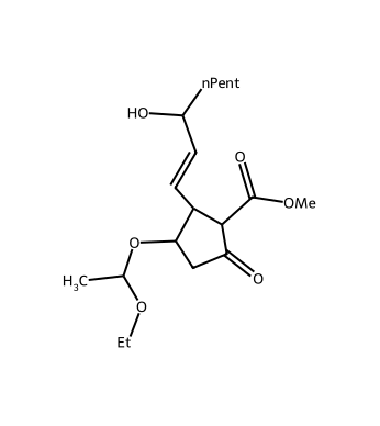 CCCCCC(O)C=CC1C(OC(C)OCC)CC(=O)C1C(=O)OC